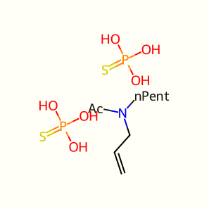 C=CCN(CCCCC)C(C)=O.OP(O)(O)=S.OP(O)(O)=S